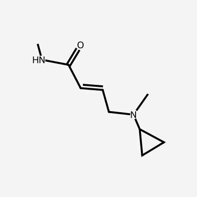 CNC(=O)C=CCN(C)C1CC1